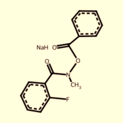 CN(OC(=O)c1ccccc1)C(=O)c1ccccc1F.[NaH]